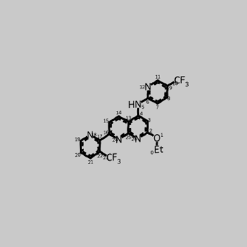 CCOc1cc(Nc2ccc(C(F)(F)F)cn2)c2ccc(-c3ncccc3C(F)(F)F)nc2n1